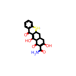 NC(=O)C1=C(O)CC2CC3[SH]c4ccccc4C(=O)C3=C(O)C2C1=O